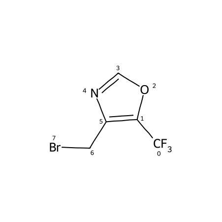 FC(F)(F)c1ocnc1CBr